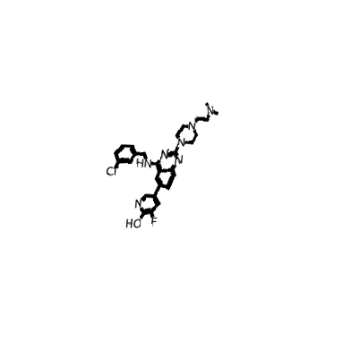 CN(C)CCN1CCN(c2nc(NCc3cccc(Cl)c3)c3cc(-c4cnc(O)c(F)c4)ccc3n2)CC1